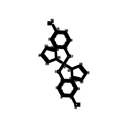 N#Cc1ccc([O][Zr]([O]c2ccc(C#N)cc2)([CH]2C=CC=C2)[CH]2C=CC=C2)cc1